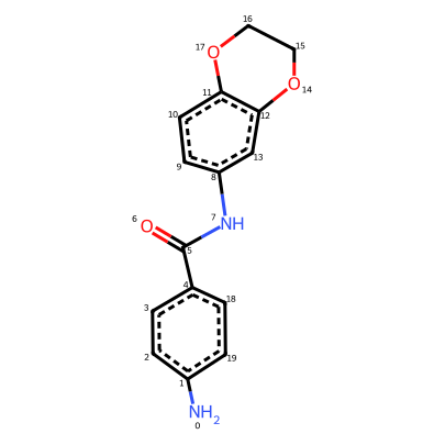 Nc1ccc(C(=O)Nc2ccc3c(c2)OCCO3)cc1